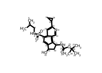 CC(C)CNS(=O)(=O)c1cc2c(c3cnc(C4CC4)cc13)C(NC(=O)OC(C)(C)C)CC2O